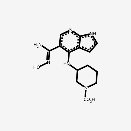 NC(=NO)c1cnc2[nH]ccc2c1NC1CCCN(C(=O)O)C1